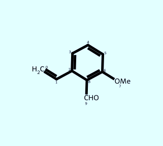 C=Cc1cccc(OC)c1C=O